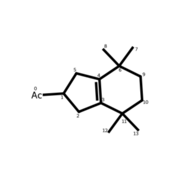 CC(=O)C1CC2=C(C1)C(C)(C)CCC2(C)C